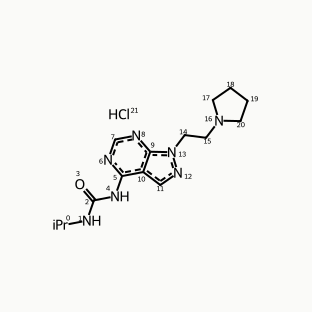 CC(C)NC(=O)Nc1ncnc2c1cnn2CCN1CCCC1.Cl